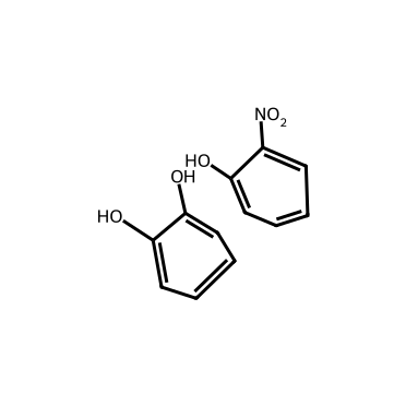 O=[N+]([O-])c1ccccc1O.Oc1ccccc1O